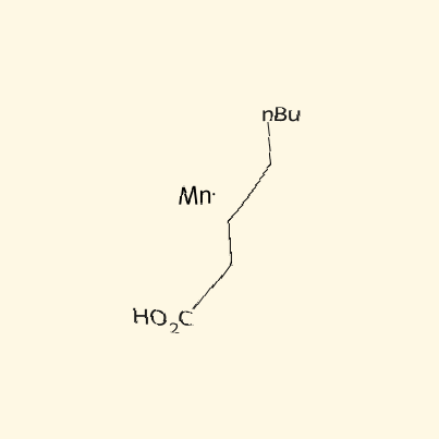 CCCCCCCC(=O)O.[Mn]